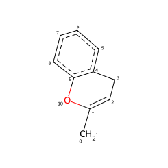 [CH2]C1=CCc2ccccc2O1